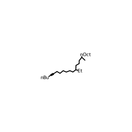 [CH2]CCCC#CCCCCCCC(CC)CCCC(C)CCCCCCC[CH2]